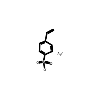 C=Cc1ccc(S(=O)(=O)[O-])cc1.[Ag+]